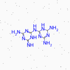 N=c1nc(N)nc(NC2=NC(N)=NC(N)N2)[nH]1